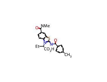 CCC(C(=O)O)n1c(=NC(=O)c2ccc(C)cc2)sc2cc(C(=O)NC)ccc21